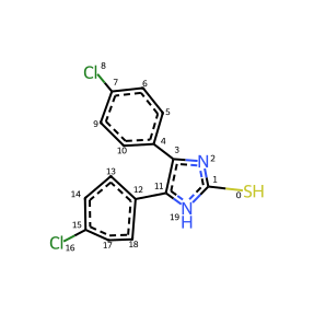 Sc1nc(-c2ccc(Cl)cc2)c(-c2ccc(Cl)cc2)[nH]1